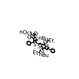 CCCCCCCCN1C(=O)c2sc3c(-c4cc5c(OCC(CC)CCCC)c6sc(-c7ccccc7)cc6c(OCC(CC)CCCC)c5s4)sc(-c4ccccc4)c3c2C1=O